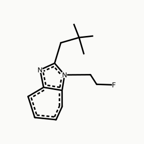 CC(C)(C)Cc1nc2ccccc2n1CCF